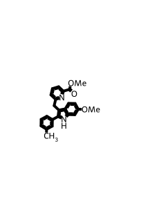 COC(=O)c1cccc(Cc2c(-c3cccc(C)c3)[nH]c3cc(OC)ccc23)n1